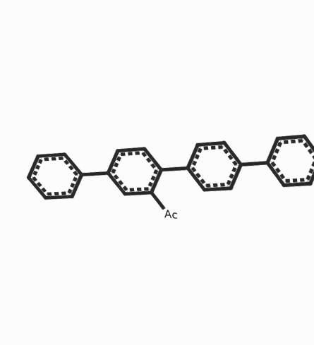 CC(=O)c1cc(-c2ccccc2)ccc1-c1ccc(-c2ccccc2)cc1